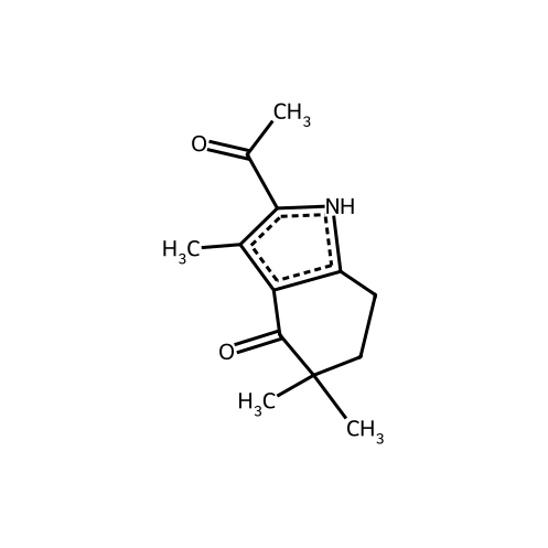 CC(=O)c1[nH]c2c(c1C)C(=O)C(C)(C)CC2